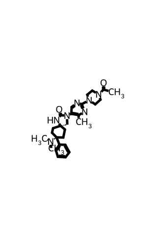 CC(=O)N1CCN(c2ncc(N3C[C@]4(CC[C@@](c5ccccc5)(N(C)C)CC4)NC3=O)c(C)n2)CC1